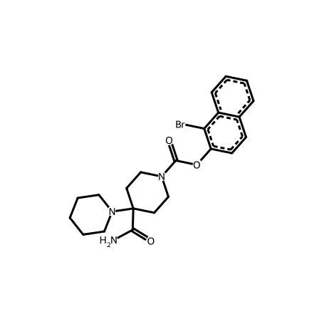 NC(=O)C1(N2CCCCC2)CCN(C(=O)Oc2ccc3ccccc3c2Br)CC1